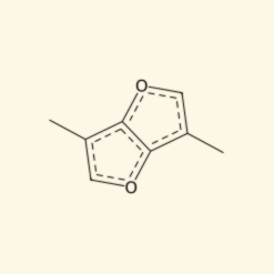 Cc1coc2c(C)coc12